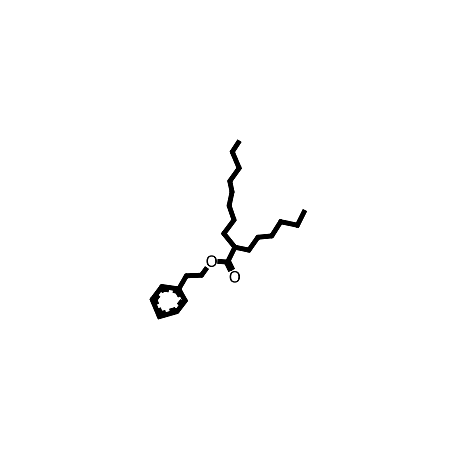 CCCCCCCCC(CCCCCC)C(=O)OCCc1ccccc1